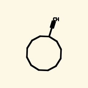 C#CC1CCCCCCCCCCC1